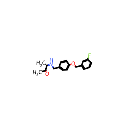 CC(=O)[C@H](C)NCc1ccc(OCc2cccc(F)c2)cc1